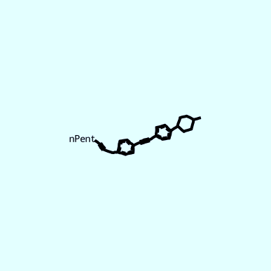 CCCCCC#CCc1ccc(C#Cc2ccc(C3CCC(C)CC3)cc2)cc1